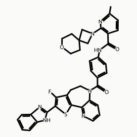 Cc1ccc(C(=O)Nc2ccc(C(=O)N3CCc4c(sc(-c5nc6ccccc6[nH]5)c4F)-c4ncccc43)cc2)c(N2CC3(CCOCC3)C2)n1